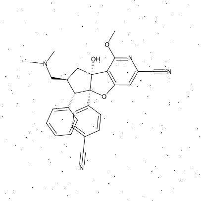 COc1nc(C#N)cc2c1[C@]1(O)C[C@H](CN(C)C)[C@@H](c3ccccc3)[C@]1(c1ccc(C#N)cc1)O2